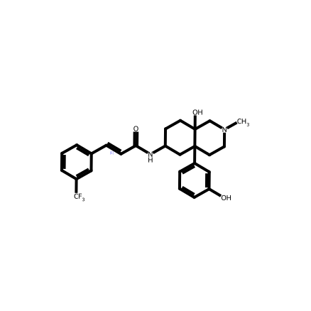 CN1CCC2(c3cccc(O)c3)CC(NC(=O)/C=C/c3cccc(C(F)(F)F)c3)CCC2(O)C1